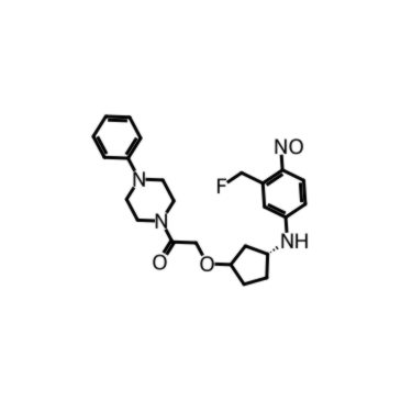 O=Nc1ccc(N[C@@H]2CCC(OCC(=O)N3CCN(c4ccccc4)CC3)C2)cc1CF